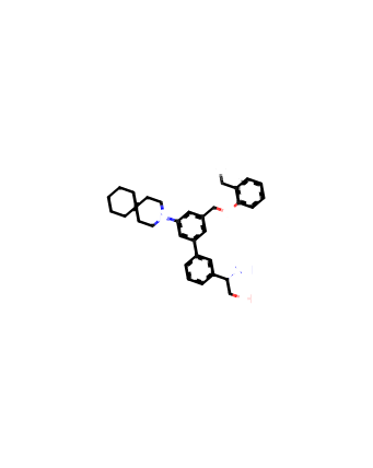 N[C@@H](CO)c1cccc(-c2cc(COc3ccccc3CC(=O)O)cc(N3CCC4(CCCCC4)CC3)c2)c1